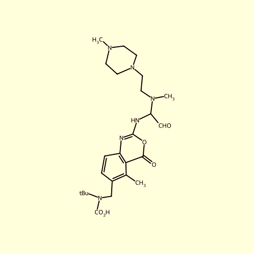 Cc1c(CN(C(=O)O)C(C)(C)C)ccc2nc(NC(C=O)N(C)CCN3CCN(C)CC3)oc(=O)c12